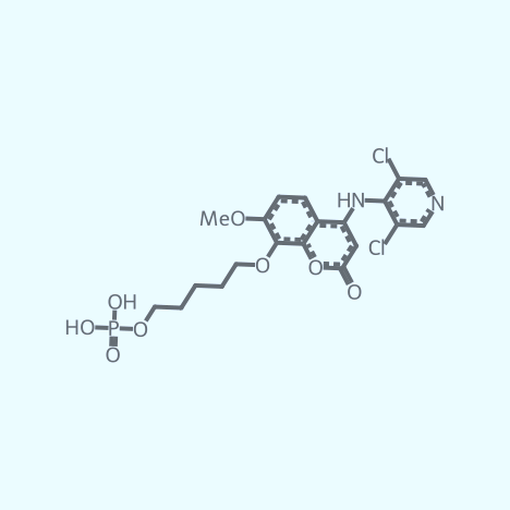 COc1ccc2c(Nc3c(Cl)cncc3Cl)cc(=O)oc2c1OCCCCCOP(=O)(O)O